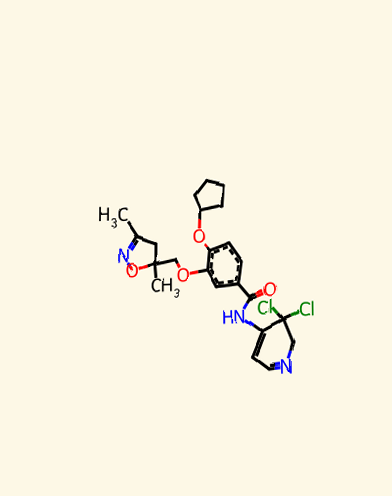 CC1=NOC(C)(COc2cc(C(=O)NC3=CC=NCC3(Cl)Cl)ccc2OC2CCCC2)C1